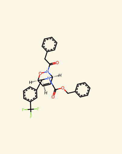 O=C(Cc1ccccc1)N1O[C@@H]2C=C[C@H]1N(C(=O)OCc1ccccc1)[C@H]2c1cccc(C(F)(F)F)c1